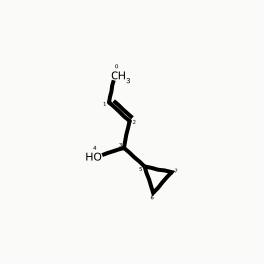 CC=CC(O)C1CC1